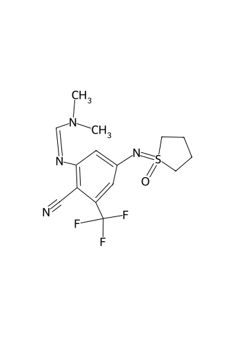 CN(C)/C=N\c1cc(N=S2(=O)CCCC2)cc(C(F)(F)F)c1C#N